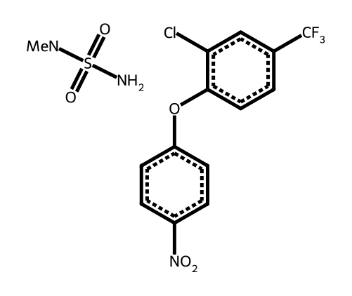 CNS(N)(=O)=O.O=[N+]([O-])c1ccc(Oc2ccc(C(F)(F)F)cc2Cl)cc1